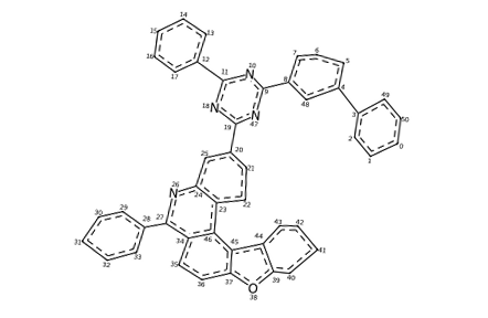 c1ccc(-c2cccc(-c3nc(-c4ccccc4)nc(-c4ccc5c(c4)nc(-c4ccccc4)c4ccc6oc7ccccc7c6c45)n3)c2)cc1